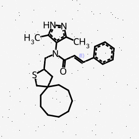 Cc1n[nH]c(C)c1N(CC1CC2(CCCCCCCC2)CS1)C(=O)/C=C/c1ccccc1